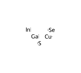 [Cu].[Ga].[In].[S].[Se]